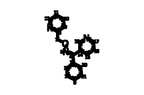 c1ccc(C(=NOCc2ccccn2)c2cccnc2)cc1